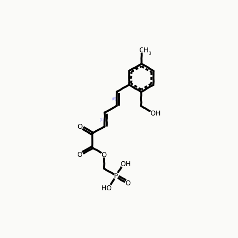 Cc1ccc(CO)c(/C=C/C=C/C(=O)C(=O)OCP(=O)(O)O)c1